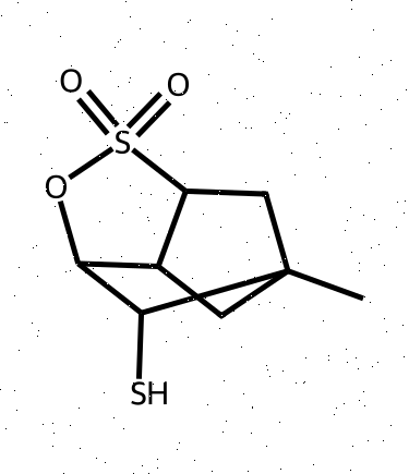 CC12CC3C(OS(=O)(=O)C3C1)C2S